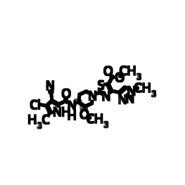 COC(=O)c1sc(N2CC[C@@H](NC(=O)c3[nH]c(C)c(Cl)c3C#N)[C@@H](OC)C2)nc1-c1cn(C)nn1